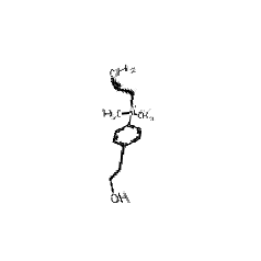 C=CC[Si](C)(C)c1ccc(CCO)cc1